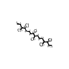 CCC(Cl)C(Cl)CCCC(Cl)C(Cl)CCCC(Cl)C(Cl)CC